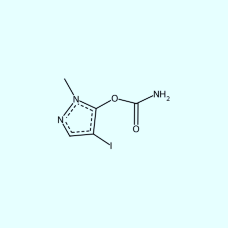 Cn1ncc(I)c1OC(N)=O